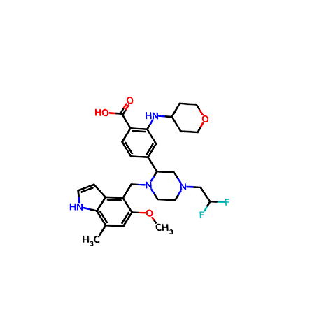 COc1cc(C)c2[nH]ccc2c1CN1CCN(CC(F)F)CC1c1ccc(C(=O)O)c(NC2CCOCC2)c1